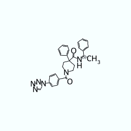 C[C@H](NC(=O)C1(c2ccccc2)CCN(C(=O)c2ccc(-n3cnnn3)cc2)CC1)c1ccccc1